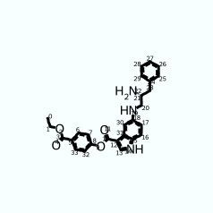 CCOC(=O)c1ccc(OC(=O)c2c[nH]c3ccc(NC[C@H](N)Cc4ccccc4)cc23)cc1